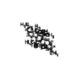 Cc1cc2ccc3c(c2s1)C(C)(C)c1c-3c(N(C)C)c2c(c1N(C)C)-c1ccc3cc(C)sc3c1C2(C)C